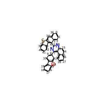 c1ccc2c(-c3nc(-c4ccc5c(c4)oc4ccccc45)c4c(ccc5ccccc54)n3)c3c(cc2c1)sc1ccccc13